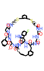 CO[C@H](C)[C@@H]1NC(=O)[C@@H]2CC/C=C\Cc3cccc(c3)C[C@H](NC(=O)[C@@H](C)NC(=O)[C@H](C)NC(=O)CCSCc3cccc(c3)CSCCNC(=O)[C@]3(C)CCCN3C(=O)[C@H](CC3=CCC#CC=C3)NC1=O)C(=O)N[C@@H](Cc1c[nH]c3ccc(F)cc13)C(=O)N2C